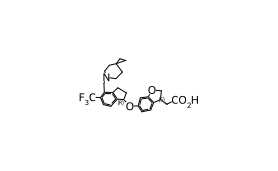 O=C(O)C[C@@H]1COc2cc(O[C@@H]3CCc4c3ccc(C(F)(F)F)c4CN3CCC4(CC3)CC4)ccc21